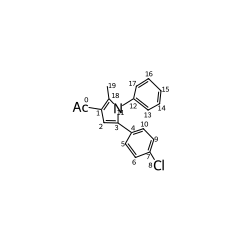 CC(=O)c1cc(-c2ccc(Cl)cc2)n(-c2ccccc2)c1C